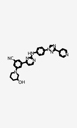 N#Cc1cc(-c2ccnc(Nc3ccc(-n4cnc(-c5ccncc5)n4)cc3)n2)cc(N2CCCC(O)C2)c1